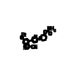 CCOc1cc(-c2ccc(N3CCC[C@H](OC(N)=O)C3)nc2)c2c(C#N)cnn2c1